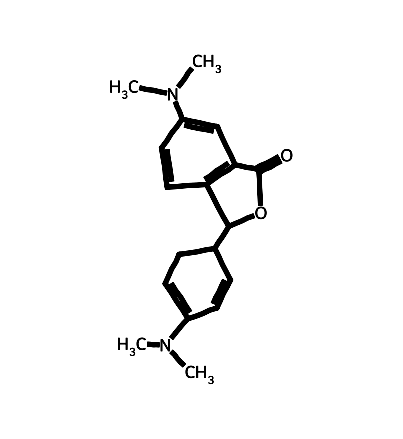 CN(C)C1=CCC(C2OC(=O)c3cc(N(C)C)ccc32)C=C1